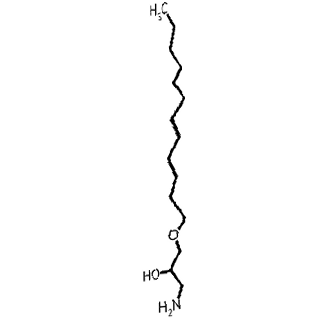 CCCCCCCCCCCCOCC(O)CN